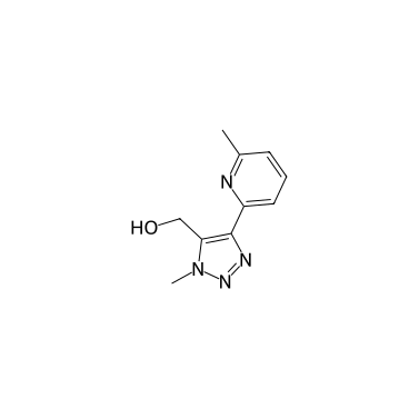 Cc1cccc(-c2nnn(C)c2CO)n1